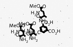 COC(=O)[C@@H](N)CC(C)C(N)=O.COC(=O)[C@@H](N)CC(C)C(N)=O.COC(=O)[C@@H](N)CC(C)C(N)=O.O=C(O)c1cc(C(=O)O)cc(C(=O)O)c1